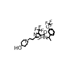 CC(NC(=O)c1sc(CCN2CCC(O)CC2)nc1C(F)(F)F)c1cccc(OC(F)(F)F)c1